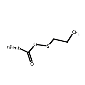 CCCCCC(=O)OSCCC(F)(F)F